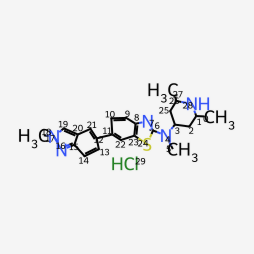 CC1CC(N(C)c2nc3ccc(-c4ccc5nn(C)cc5c4)cc3s2)CC(C)N1.Cl